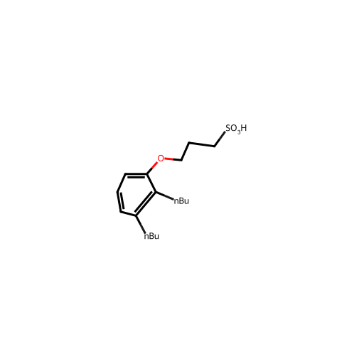 CCCCc1cccc(OCCCS(=O)(=O)O)c1CCCC